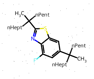 CCCCCCCC(C)(CCCCC)c1cc(F)c2nc(C(C)(CCCCC)CCCCCCC)sc2c1